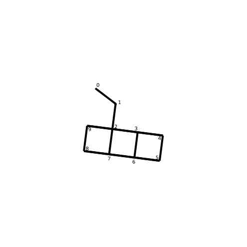 CCC12C3C4C5C3C1C5C42